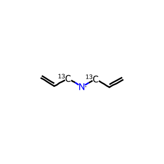 C=C[13CH2][N][13CH2]C=C